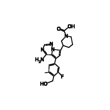 Cc1cc(-c2cc(C3CCCN(C(=O)O)C3)n3ncnc(N)c23)cc(F)c1CO